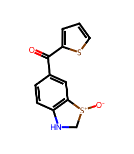 O=C(c1ccc2c(c1)[S+]([O-])CN2)c1cccs1